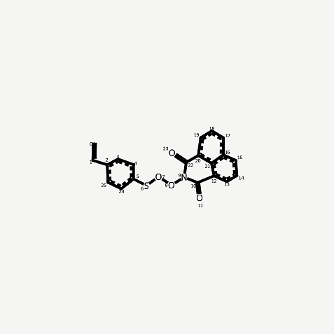 C=Cc1ccc(SOON2C(=O)c3cccc4cccc(c34)C2=O)cc1